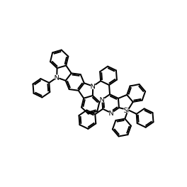 c1ccc(-c2nc(-c3ccccc3-n3c4ccccc4c4cc5c(cc43)c3ccccc3n5-c3ccccc3)c3c(n2)[Si](c2ccccc2)(c2ccccc2)c2ccccc2-3)cc1